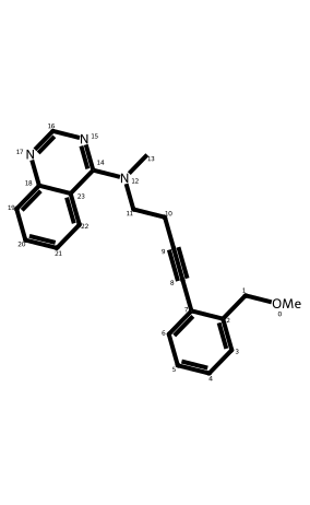 COCc1ccccc1C#CCCN(C)c1ncnc2ccccc12